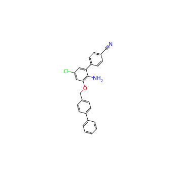 N#Cc1ccc(-c2cc(Cl)cc(OCc3ccc(-c4ccccc4)cc3)c2N)cc1